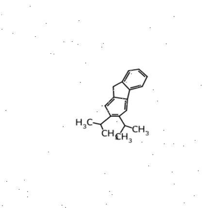 CC(C)c1[c]c2c(cc1C(C)C)-c1ccccc1C2